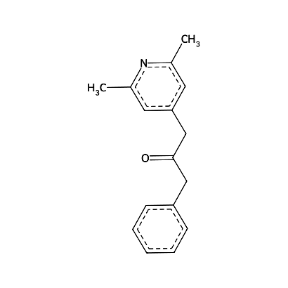 Cc1cc(CC(=O)Cc2ccccc2)cc(C)n1